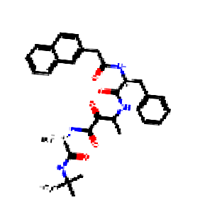 CC[C@H](C)[C@H](NC(=O)C(=O)C(C)NC(=O)[C@H](Cc1ccccc1)NC(=O)Cc1ccc2ccccc2c1)C(=O)NC(C)(C)C(=O)O